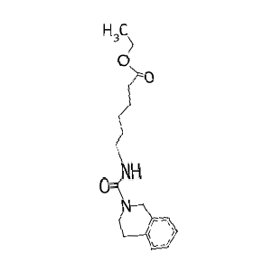 CCOC(=O)CCCCCNC(=O)N1CCc2ccccc2C1